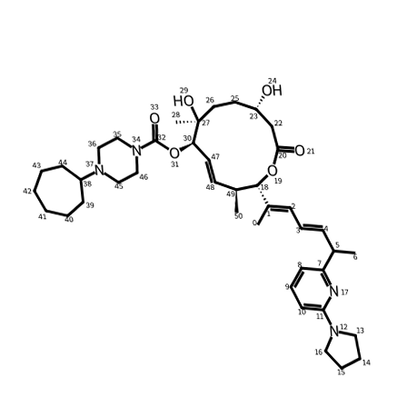 C/C(=C\C=C\C(C)c1cccc(N2CCCC2)n1)[C@H]1OC(=O)C[C@@H](O)CC[C@](C)(O)[C@H](OC(=O)N2CCN(C3CCCCCC3)CC2)/C=C/[C@@H]1C